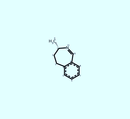 C[C@H]1CCc2ccccc2C=N1